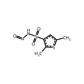 Cc1cc(S(=O)(=O)NN=O)c(C)s1